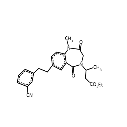 CCOC(=O)CC(C)N1CC(=O)N(C)c2ccc(CCc3cccc(C#N)c3)cc2C1=O